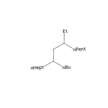 CCCCCCCC([CH]C(CC)CCCCC)CCCC